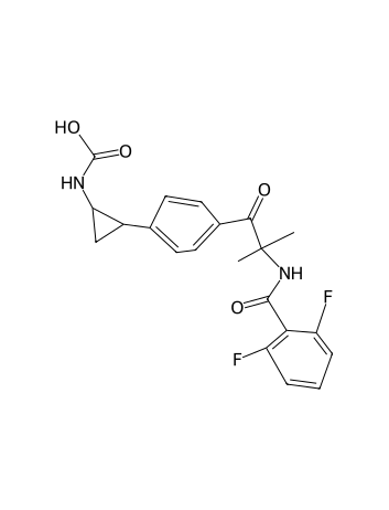 CC(C)(NC(=O)c1c(F)cccc1F)C(=O)c1ccc(C2CC2NC(=O)O)cc1